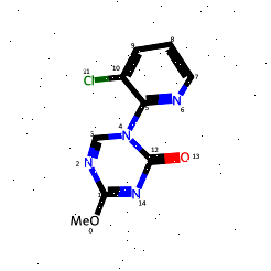 COc1ncn(-c2ncccc2Cl)c(=O)n1